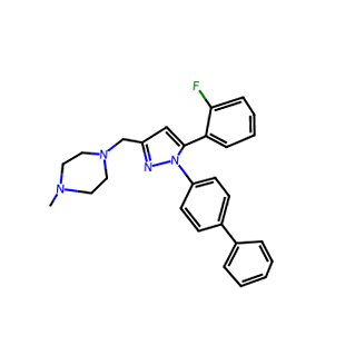 CN1CCN(Cc2cc(-c3ccccc3F)n(-c3ccc(-c4ccccc4)cc3)n2)CC1